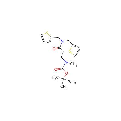 CN(CCC(=O)N(Cc1cccs1)Cc1cccs1)C(=O)OC(C)(C)C